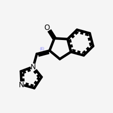 O=C1/C(=C/n2ccnc2)Cc2ccccc21